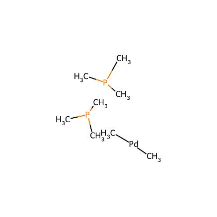 CP(C)C.CP(C)C.[CH3][Pd][CH3]